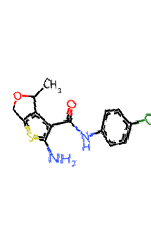 CC1OCc2sc(N)c(C(=O)Nc3ccc(Cl)cc3)c21